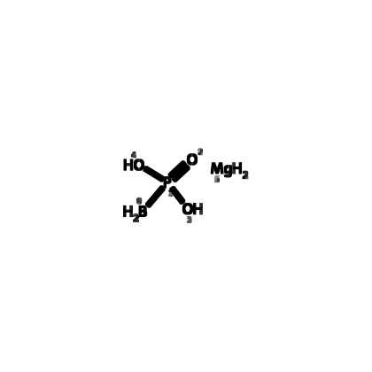 BP(=O)(O)O.[MgH2]